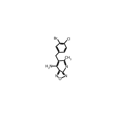 Cc1nc2nonc2c(N)c1Cc1ccc(Cl)c(Br)c1